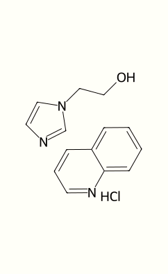 Cl.OCCn1ccnc1.c1ccc2ncccc2c1